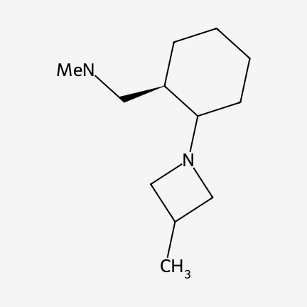 CNC[C@H]1CCCCC1N1CC(C)C1